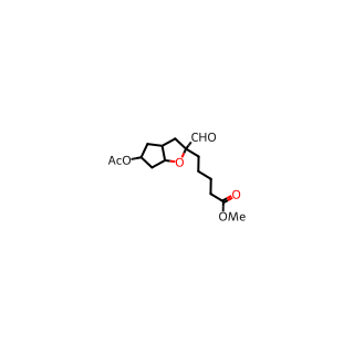 COC(=O)CCCCC1(C=O)CC2CC(OC(C)=O)CC2O1